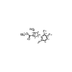 CC(C)(C)OC(=O)N1C[C@@H](c2c(F)ccc(F)c2F)C[C@H]1O